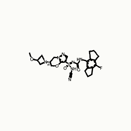 COC1CN([C@@H]2COc3c(S(=O)(=NC(=O)Nc4c5c(c(F)c6c4CCC6)CCC5)NC#N)cnn3C2)C1